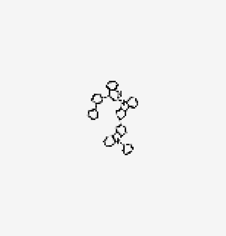 C1=Cc2c(n(-c3ccccc3)c3ccc(-c4ccc5c(c4)c4ccccc4n5-c4cc(-c5cccc(-c6ccccc6)c5)c5ccccc5n4)cc23)CC1